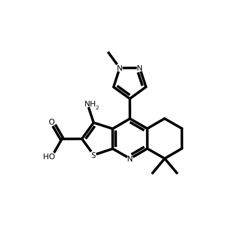 Cn1cc(-c2c3c(nc4sc(C(=O)O)c(N)c24)C(C)(C)CCC3)cn1